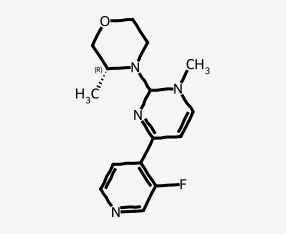 C[C@@H]1COCCN1C1N=C(c2ccncc2F)C=CN1C